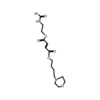 CC(C)C(=O)NCCOC(=O)/C=C/C(=O)OCCCCN1CCOCC1